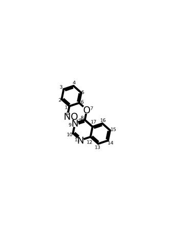 O=[N+]([O-])c1ccccc1Oc1ncnc2ccccc12